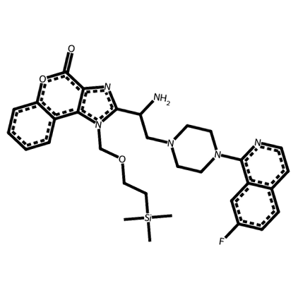 C[Si](C)(C)CCOCn1c(C(N)CN2CCN(c3nccc4ccc(F)cc34)CC2)nc2c(=O)oc3ccccc3c21